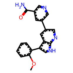 COc1ccccc1-c1c[nH]c2ncc(-c3cncc(C(N)=O)c3)cc12